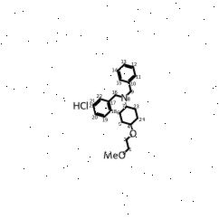 COCCO[C@H]1CC[C@H](N(Cc2ccccc2)Cc2ccccc2)CC1.Cl